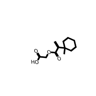 C=C(C(=O)OCC(=O)O)C1(C)CCCCC1